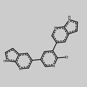 CCc1ncc(-c2cnc3[nH]ccc3c2)cc1-c1cnc2[nH]ccc2c1